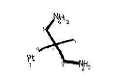 CC(C)(CN)CN.[Pt]